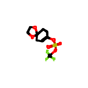 O=S(=O)(OC1=CCC2(CC1)OCCO2)OC(F)(F)F